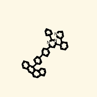 c1ccc(-c2nc(-c3ccc(-c4ccc(-c5c6ccccc6cc6ccc7ccccc7c56)cc4)cc3)cc(-c3ccccc3-c3cccnc3)n2)cc1